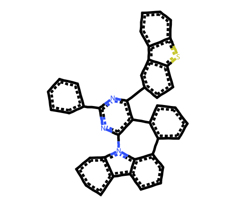 c1ccc(-c2nc(-c3ccc4sc5ccccc5c4c3)c3c(n2)-n2c4ccccc4c4cccc(c42)-c2ccccc2-3)cc1